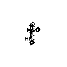 O=C(CSc1nnc(-c2ccoc2)n1C(F)(F)c1ccccc1)Nc1ccccc1